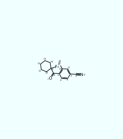 N#Cc1ccc(C(=O)C2(F)CCCCC2)c(F)c1